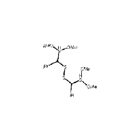 CO[SiH](OC)C(SSC(C(C)C)[SiH](OC)OC)C(C)C